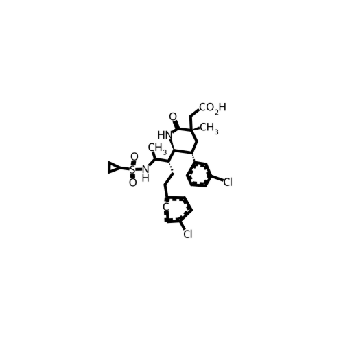 CC(NS(=O)(=O)C1CC1)[C@@H](CCc1ccc(Cl)cc1)[C@H]1NC(=O)[C@](C)(CC(=O)O)C[C@@H]1c1cccc(Cl)c1